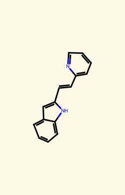 C(=Cc1cc2ccccc2[nH]1)c1ccccn1